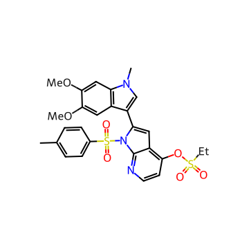 CCS(=O)(=O)Oc1ccnc2c1cc(-c1cn(C)c3cc(OC)c(OC)cc13)n2S(=O)(=O)c1ccc(C)cc1